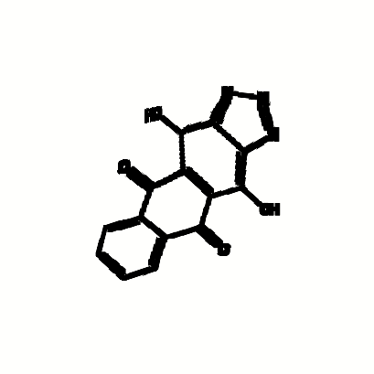 O=C1C2=C(C(=O)c3ccccc31)C(O)C1=NN=NC1=C2O